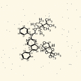 CC(C)C(C)(C)[Si](C)(C)OCN(c1ccccc1)c1ncc2c(-c3ccccc3)cn([C@@H]3OC[C@H]4OC(C)(C)O[C@@H]34)c2n1